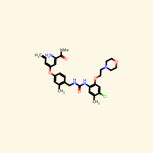 C=C/C=C(\C=C(/N)C(=O)NC)Oc1ccc(CNC(=O)Nc2cc(C)c(Cl)cc2OCCN2CCOCC2)c(C)c1